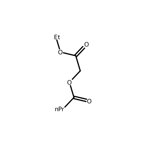 CCCC(=O)OCC(=O)OCC